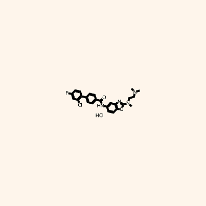 CN(C)CCN(C)c1nc2cc(NC(=O)c3ccc(-c4ccc(F)cc4Cl)cc3)ccc2o1.Cl